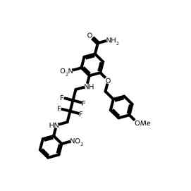 COc1ccc(COc2cc(C(N)=O)cc([N+](=O)[O-])c2NCC(F)(F)C(F)(F)CNc2ccccc2[N+](=O)[O-])cc1